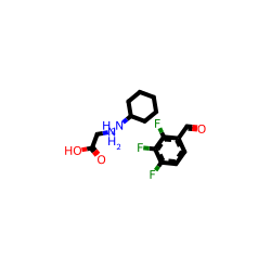 NC1CCCCC1.NCC(=O)O.O=Cc1ccc(F)c(F)c1F